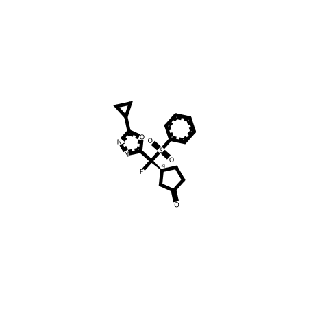 O=C1CC[C@H](C(F)(c2nnc(C3CC3)o2)S(=O)(=O)c2ccccc2)C1